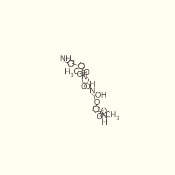 CNS(=O)(=O)c1cccc(OC[C@@H](O)CNC2COC3(CCN(S(=O)(=O)c4cccc(-c5ccc(CN)cc5)c4C)CC3)C2)c1